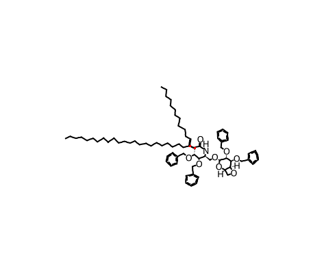 CCCCCCCCCCC/C=C/C[C@@H](OCc1ccccc1)[C@@H](OCc1ccccc1)[C@H](CO[C@H]1O[C@@H]2CO[C@@H]2[C@H](OCc2ccccc2)[C@H]1OCc1ccccc1)NC(=O)CCCCCCCCCCCCCCCCCCCCCCCCC